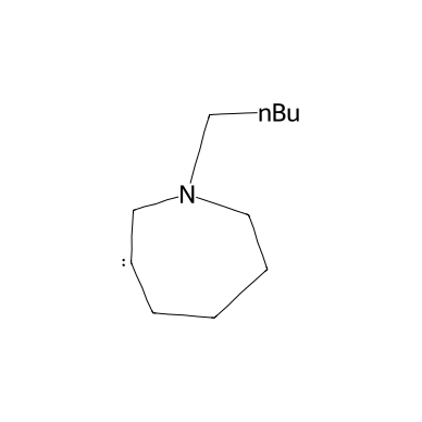 CCCCCN1C[C]CCCC1